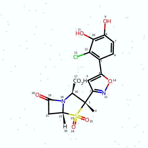 C[C@]1(c2cc(-c3ccc(O)c(O)c3Cl)on2)[C@H](C(=O)O)N2C(=O)C[C@H]2S1(=O)=O